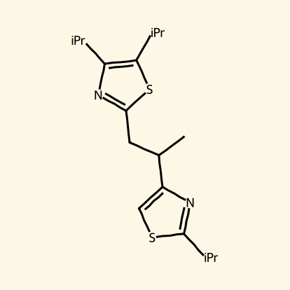 CC(C)c1nc(C(C)Cc2nc(C(C)C)c(C(C)C)s2)cs1